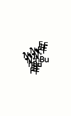 CCCC[n+]1ccn(C)c1.CCCC[n+]1ccn(C)c1.F[B-](F)(F)F.F[B-](F)(F)F